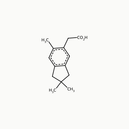 Cc1cc2c(cc1CC(=O)O)CC(C)(C)C2